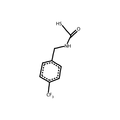 O=C(S)NCc1ccc(C(F)(F)F)cc1